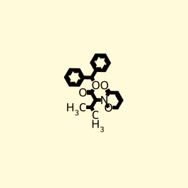 CC(C)C(C(=O)OC(c1ccccc1)c1ccccc1)N1OCC=CC1=O